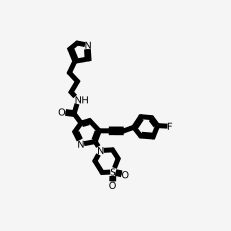 O=C(NCCCC1=CCN=C1)c1cnc(N2CCS(=O)(=O)CC2)c(C#Cc2ccc(F)cc2)c1